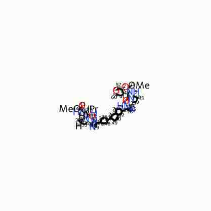 COC(=O)NC(C(=O)N1[C@H](C)[C@H](C)C[C@H]1c1ncc(-c2ccc3cc(-c4ccc(-c5cnc([C@@H]6C[C@H]7C[C@H]7N6C(=O)[C@@H](NC(=O)OC)C(C)C)[nH]5)cc4)ccc3c2)[nH]1)[C@H]1C[C@@H](C)O[C@@H](C)C1